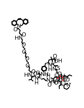 CCCCCON(C(=O)[C@@H](NC(=O)[C@H]1CCCCN1C)[C@@H](C)CC)[C@H](C[C@@H](OC(=O)NC)c1nc(C(=O)N[C@@H](Cc2ccc(NC(=O)[C@H](CCCNC(N)=O)NC(=O)[C@@H](NC(=O)CCOCCOCCOCCOCCNC(=O)CCC(=O)N3Cc4ccccc4C#Cc4ccccc43)C(C)C)cc2)CC(C)(C)C(=O)O)cs1)C(C)C